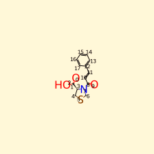 O=C(O)[C@@H]1CSCN1C(=O)C=Cc1ccccc1